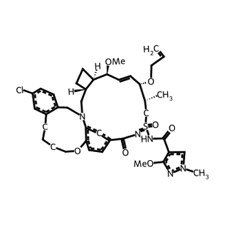 C=CCO[C@H]1/C=C/[C@H](OC)[C@@H]2CC[C@H]2CN2Cc3ccc(Cl)cc3CCCCOc3ccc(cc32)C(=O)N=S(=O)(NC(=O)c2cn(C)nc2OC)C[C@H]1C